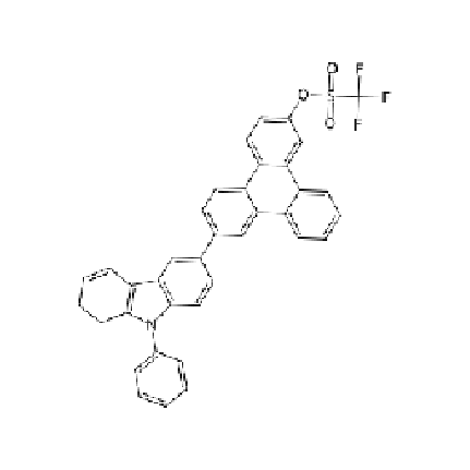 O=S(=O)(Oc1ccc2c3ccc(-c4ccc5c(c4)c4c(n5-c5ccccc5)CCC=C4)cc3c3ccccc3c2c1)C(F)(F)F